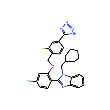 Fc1cc(-c2nnn[nH]2)ccc1COc1cc(Cl)ccc1-c1nc2ccccc2n1CC1CCCCC1